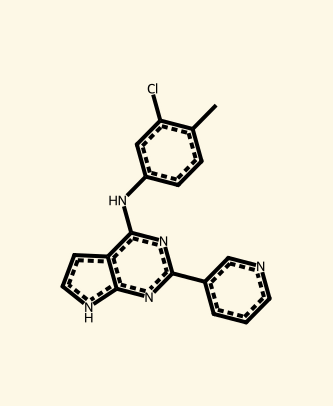 Cc1ccc(Nc2nc(-c3cccnc3)nc3[nH]ccc23)cc1Cl